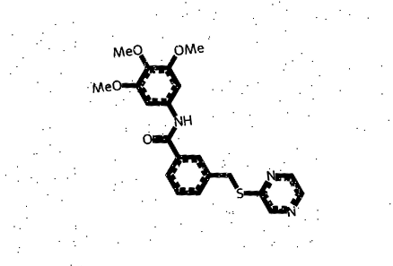 COc1cc(NC(=O)c2cccc(CSc3cnccn3)c2)cc(OC)c1OC